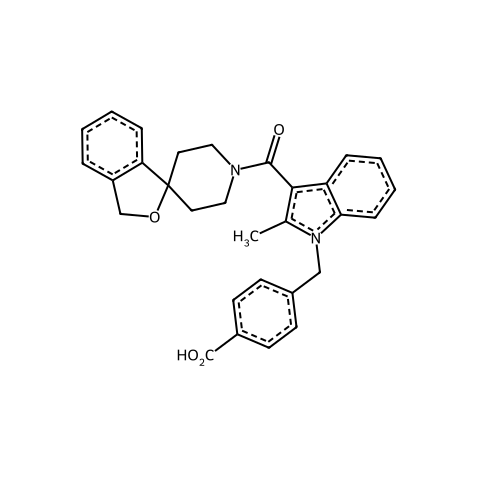 Cc1c(C(=O)N2CCC3(CC2)OCc2ccccc23)c2ccccc2n1Cc1ccc(C(=O)O)cc1